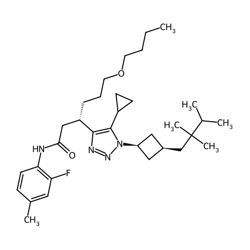 CCCCOCCC[C@@H](CC(=O)Nc1ccc(C)cc1F)c1nnn([C@H]2C[C@@H](CC(C)(C)C(C)C)C2)c1C1CC1